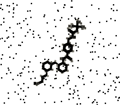 CCOC[C@@H]1CCCN(C[C@H]2CCCC[C@@H]2NC(=O)c2ccc(CNC(=O)OC(C)(C)C)cc2)C1